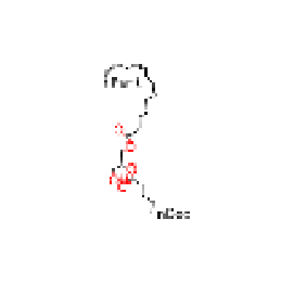 CCCCC/C=C\C/C=C\C/C=C\CCCCC(=O)OC[C@H](CO)OC(=O)CCCCCCCCCCCCCC